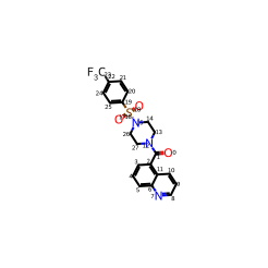 O=C(c1cccc2ncccc12)N1CCN(S(=O)(=O)c2ccc(C(F)(F)F)cc2)CC1